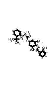 Cc1cc(OC(=O)N(C)Sc2ccccc2C(C)(C)C)cc(C)c1N=Cc1ccccc1O